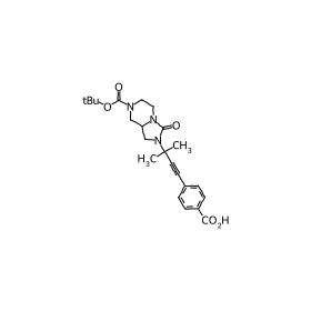 CC(C)(C)OC(=O)N1CCN2C(=O)N(C(C)(C)C#Cc3ccc(C(=O)O)cc3)CC2C1